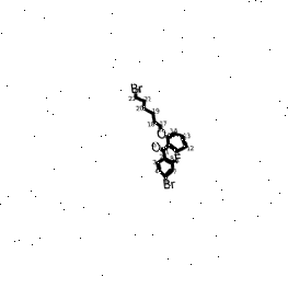 O=C(c1ccc(Br)cc1F)c1ccccc1OCCCCCCBr